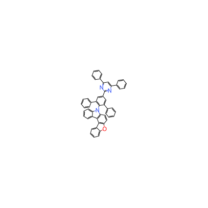 c1ccc(-c2cc(-c3ccccc3)nc(-c3cc(-c4ccccc4)c(-n4c5ccccc5c5c6c(ccc54)oc4ccccc46)c(-c4ccccc4)c3)n2)cc1